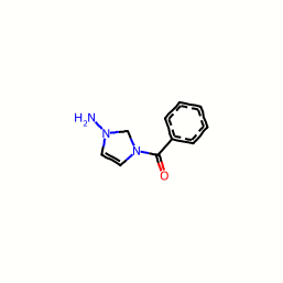 NN1C=CN(C(=O)c2ccccc2)C1